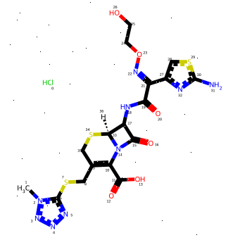 Cl.Cn1nnnc1SCC1=C(C(=O)O)N2C(=O)C(NC(=O)C(=NOCCO)c3csc(N)n3)[C@@H]2SC1